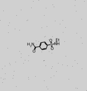 CCNS(=O)(=O)c1ccc(C(N)=O)cc1